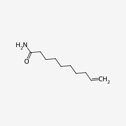 C=CCCCCCCCC(N)=O